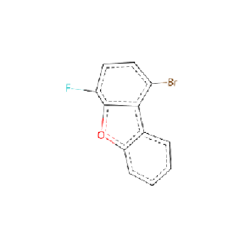 Fc1ccc(Br)c2c1oc1ccccc12